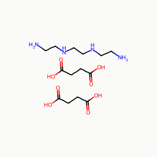 NCCNCCNCCN.O=C(O)CCC(=O)O.O=C(O)CCC(=O)O